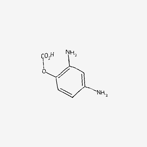 Nc1ccc(OC(=O)O)c(N)c1